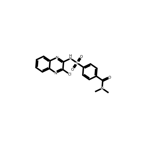 CN(C)C(=O)c1ccc(S(=O)(=O)Nc2nc3ccccc3nc2Cl)cc1